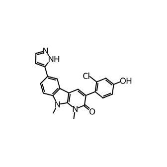 Cn1c(=O)c(-c2ccc(O)cc2Cl)cc2c3cc(-c4ccn[nH]4)ccc3n(C)c21